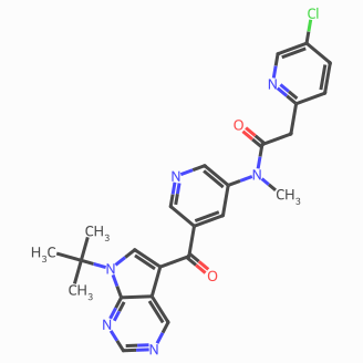 CN(C(=O)Cc1ccc(Cl)cn1)c1cncc(C(=O)c2cn(C(C)(C)C)c3ncncc23)c1